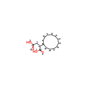 O=C(O)CC(C(=O)O)C1CCCCCCCCCCC1